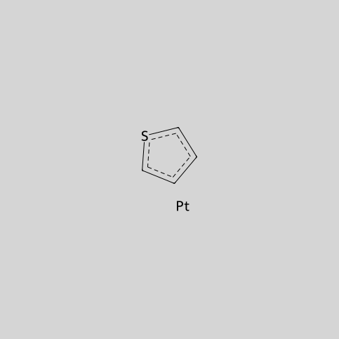 [Pt].c1ccsc1